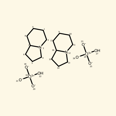 C1CCN2CCCC2C1.C1CCN2CCCC2C1.[O-][Cl+3]([O-])([O-])O.[O-][Cl+3]([O-])([O-])O